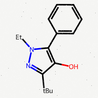 CCn1nc(C(C)(C)C)c(O)c1-c1ccccc1